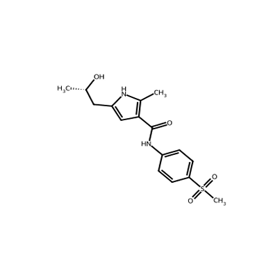 Cc1[nH]c(C[C@H](C)O)cc1C(=O)Nc1ccc(S(C)(=O)=O)cc1